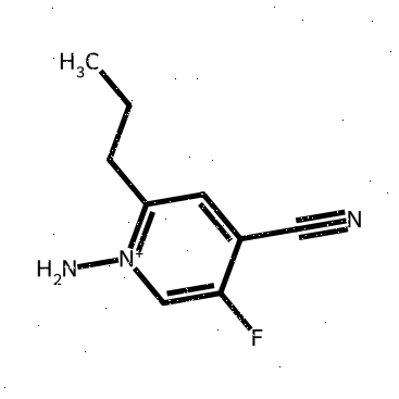 CCCc1cc(C#N)c(F)c[n+]1N